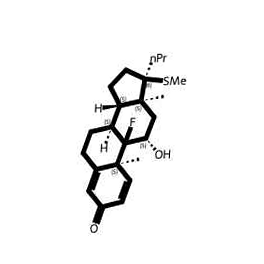 CCC[C@@]1(SC)CC[C@H]2[C@@H]3CCC4=CC(=O)C=C[C@]4(C)C3(F)[C@@H](O)C[C@@]21C